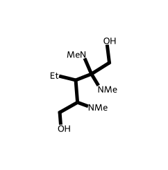 CCC(C(CO)NC)C(CO)(NC)NC